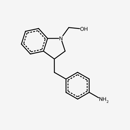 Nc1ccc(CC2CN(CO)c3ccccc32)cc1